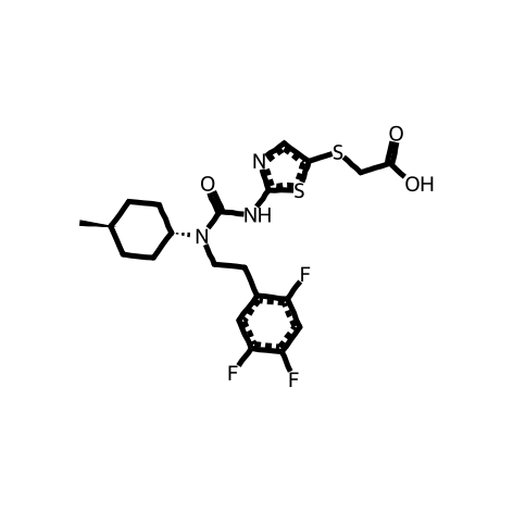 C[C@H]1CC[C@H](N(CCc2cc(F)c(F)cc2F)C(=O)Nc2ncc(SCC(=O)O)s2)CC1